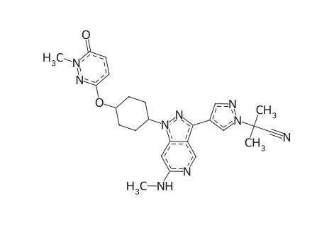 CNc1cc2c(cn1)c(-c1cnn(C(C)(C)C#N)c1)nn2C1CCC(Oc2ccc(=O)n(C)n2)CC1